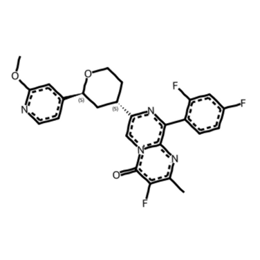 COc1cc([C@@H]2C[C@@H](c3cn4c(=O)c(F)c(C)nc4c(-c4ccc(F)cc4F)n3)CCO2)ccn1